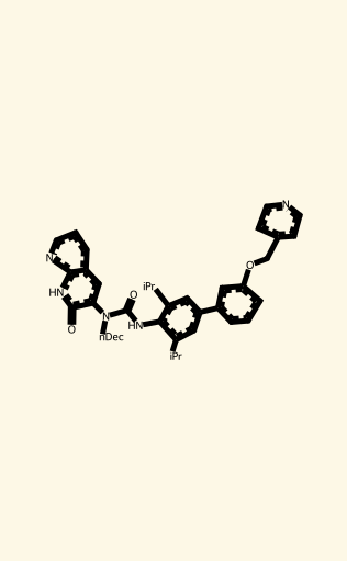 CCCCCCCCCCN(C(=O)Nc1c(C(C)C)cc(-c2cccc(OCc3ccncc3)c2)cc1C(C)C)c1cc2cccnc2[nH]c1=O